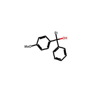 CCC(O)(c1ccccc1)c1ccc(OC)cc1